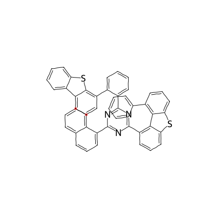 c1ccc(-c2cccc3sc4cccc(-c5nc(-c6ccccc6-c6cccc7c6sc6ccccc67)nc(-c6cccc7ccccc67)n5)c4c23)cc1